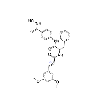 COc1cc(/C=C/C(=O)NC(Cc2cccnc2)C(=O)Nc2ccc(C(=O)NO)cc2)cc(OC)c1